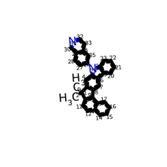 CC1(C)c2cc3c(cc2-c2c1ccc1ccccc21)c1ccccc1n3-c1ccc2cnccc2c1